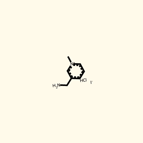 C[n+]1cccc(CN)c1.Cl.[I-]